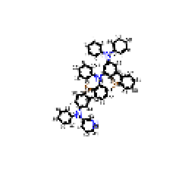 C1=CC(N(c2ccccc2)c2cc(N(c3ccccc3)c3cccc4c3sc3ccc(N(c5ccccc5)c5cccnc5)cc34)c3sc4ccccc4c3c2)=CCC1